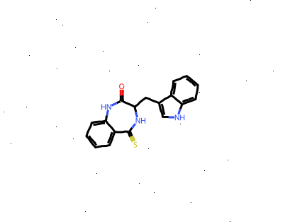 O=C1Nc2ccccc2C(=S)NC1Cc1c[nH]c2ccccc12